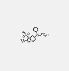 CC(C)S(=O)(=O)n1c(N)nc2ccc(/C(=C/C(=O)O)c3ccccc3)cc21